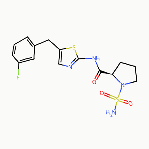 NS(=O)(=O)N1CCC[C@@H]1C(=O)Nc1ncc(Cc2cccc(F)c2)s1